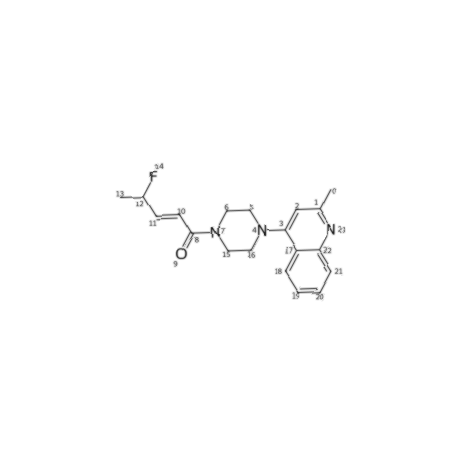 Cc1cc(N2CCN(C(=O)C=CC(C)F)CC2)c2ccccc2n1